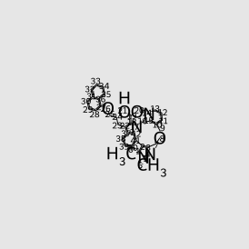 Cc1c2c(nn1C)COCc1cccnc1Cn1c(C(=O)O)c(CCCOc3cccc4ccccc34)c3cccc-2c31